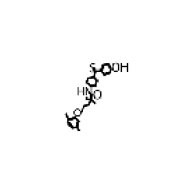 Cc1ccc(C)c(OCCCC(C)(C)C(=O)NC2CCC(C(=S)c3ccc(O)cc3)CC2)c1